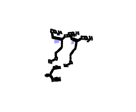 CCC[CH2][Sn][CH2]CCC.CCOCC/C(=C/C(=O)O)C(=O)O.CCOCC/C(=C/C(=O)O)C(=O)O